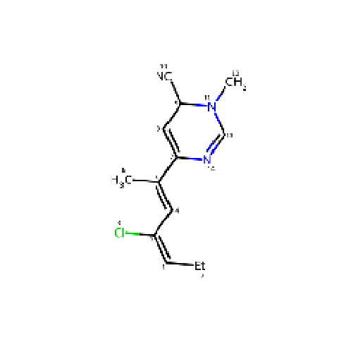 CC/C=C(Cl)\C=C(/C)C1=CC(C#N)N(C)C=N1